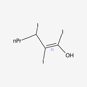 CCCC(I)/C(I)=C(/O)I